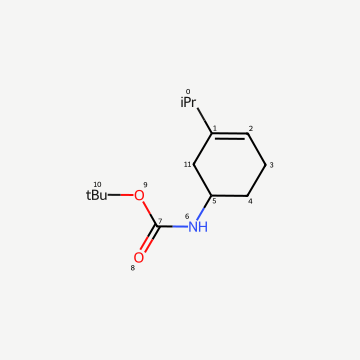 CC(C)C1=CCCC(NC(=O)OC(C)(C)C)C1